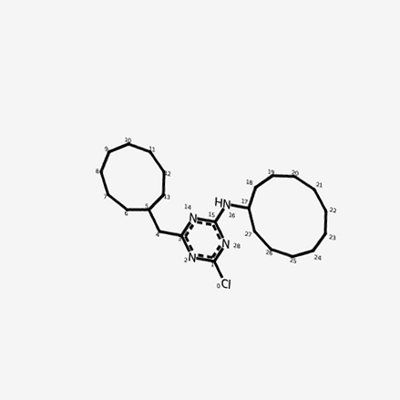 Clc1nc(CC2CCCCCCCC2)nc(NC2CCCCCCCCCC2)n1